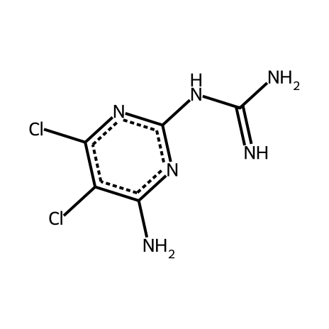 N=C(N)Nc1nc(N)c(Cl)c(Cl)n1